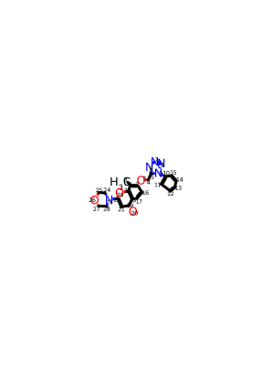 Cc1c(OCc2nnnn2-c2ccccc2)ccc2c(=O)cc(N3CCOCC3)oc12